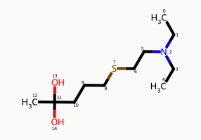 CCN(CC)CCSCCCC(C)(O)O